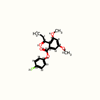 CCC(=O)c1c(OC)cc(OC)cc1C(=O)Oc1ccc(F)cc1